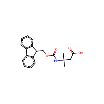 CC(C)(CC(=O)O)NC(=O)OCC1c2ccccc2-c2ccccc21